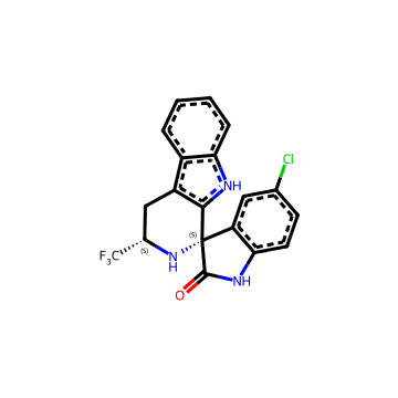 O=C1Nc2ccc(Cl)cc2[C@@]12N[C@H](C(F)(F)F)Cc1c2[nH]c2ccccc12